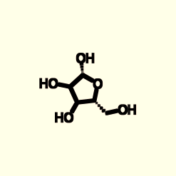 OC[C@H]1O[C@@H](O)C(O)C1O